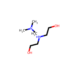 CN(C)C.OCCNCCO